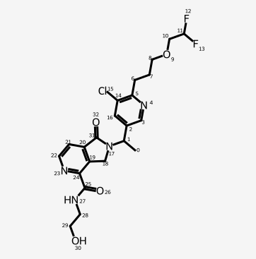 CC(c1cnc(CCCOCC(F)F)c(Cl)c1)N1Cc2c(ccnc2C(=O)NCCO)C1=O